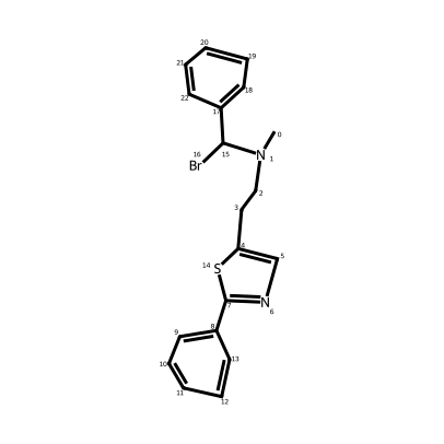 CN(CCc1cnc(-c2ccccc2)s1)C(Br)c1ccccc1